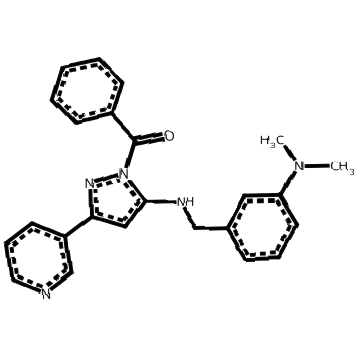 CN(C)c1cccc(CNc2cc(-c3cccnc3)nn2C(=O)c2ccccc2)c1